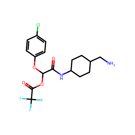 NCC1CCC(NC(=O)C(OC(=O)C(F)(F)F)Oc2ccc(Cl)cc2)CC1